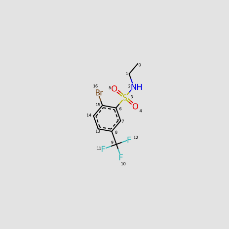 CCNS(=O)(=O)c1cc(C(F)(F)F)ccc1Br